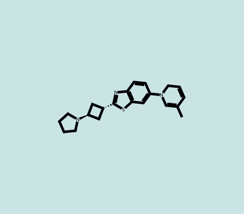 CC1=CN(c2ccc3nc([C@H]4C[C@H](N5CCCC5)C4)sc3c2)CC=C1